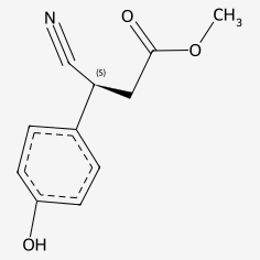 COC(=O)C[C@H](C#N)c1ccc(O)cc1